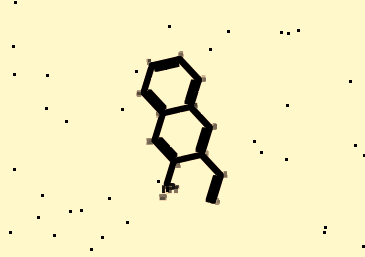 C=Cc1cc2ccccc2cc1CCC